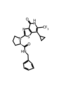 O=C(NCc1ccccc1)[C@H]1CCCN1c1nc2c(=O)[nH]c(C(F)(F)F)c(C3CC3)c2s1